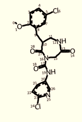 COc1ccc(Cl)cc1CC1CNC(=O)CN(C(=O)Nc2ccc(Cl)nc2)C1=O